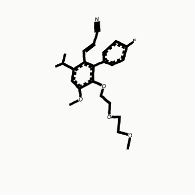 COCCOCCOc1c(OC)cc(C(C)C)c(C=CC#N)c1-c1ccc(F)cc1